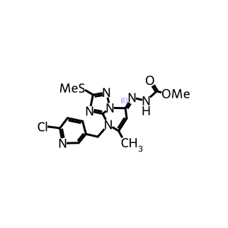 COC(=O)N/N=c1\cc(C)n(Cc2ccc(Cl)nc2)c2nc(SC)nn12